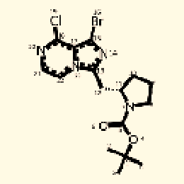 CC(C)(C)OC(=O)N1CCC[C@H]1Cc1nc(Br)c2c(Cl)nccn12